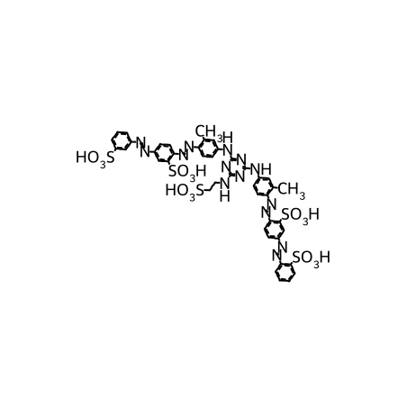 Cc1cc(Nc2nc(NCCS(=O)(=O)O)nc(Nc3ccc(N=Nc4ccc(N=Nc5ccccc5S(=O)(=O)O)cc4S(=O)(=O)O)c(C)c3)n2)ccc1N=Nc1ccc(N=Nc2cccc(S(=O)(=O)O)c2)cc1S(=O)(=O)O